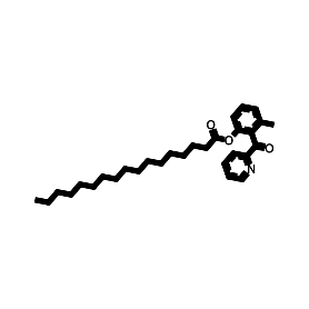 CCCCCCCCCCCCCCCCC(=O)Oc1cccc(C)c1C(=O)c1ccccn1